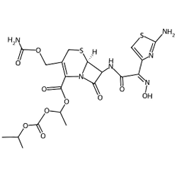 CC(C)OC(=O)OC(C)OC(=O)C1=C(COC(N)=O)CS[C@H]2C(NC(=O)/C(=N\O)c3csc(N)n3)C(=O)N12